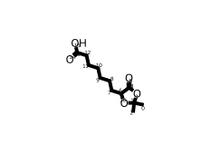 CC1(C)OC(=O)C(CCCCCCC(=O)O)O1